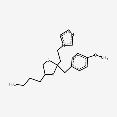 CCCCC1CSC(CCn2ccnc2)(Cc2ccc(OC)cc2)S1